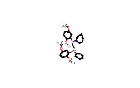 COc1ccc(OC)c(P(CC[P@@](c2ccccc2)c2cc(OC)ccc2OC)c2ccccc2)c1